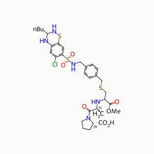 CCCCC1NSc2cc(S(=O)(=O)NCc3ccc(CSCC(N[C@@H](C)C(=O)N4CCC[C@H]4C(=O)O)C(=O)OC)cc3)c(Cl)cc2N1